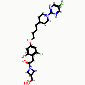 O=C(Cc1c(F)cc(OCCCCC2CCN(c3ncc(Cl)cn3)CC2)cc1F)N1CC(CO)C1